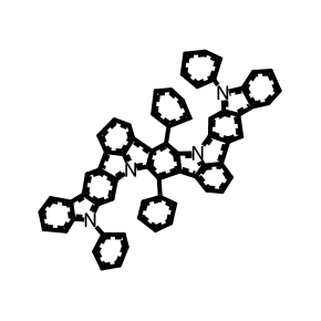 c1ccc(-c2c3c4cccc5c6cc7c8ccccc8n(-c8ccccc8)c7cc6n(c3c(-c3ccccc3)c3c6cccc7c8cc9c%10ccccc%10n(-c%10ccccc%10)c9cc8n(c23)c76)c54)cc1